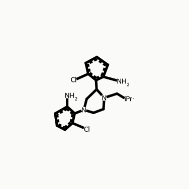 C[C](C)CN1CCN(c2c(N)cccc2Cl)CC1c1c(N)cccc1Cl